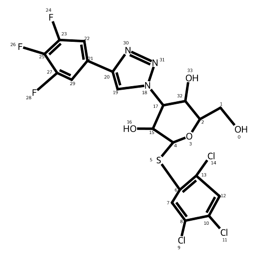 OCC1OC(Sc2cc(Cl)c(Cl)cc2Cl)C(O)C(n2cc(-c3cc(F)c(F)c(F)c3)nn2)C1O